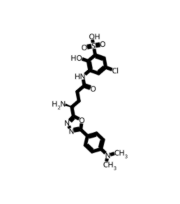 CN(C)c1ccc(-c2nnc([C@@H](N)CCC(=O)Nc3cc(Cl)cc(S(=O)(=O)O)c3O)o2)cc1